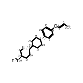 CCC=COc1ccc([C@H]2CC[C@H]([C@H]3CC[C@H](CCC)CC3)CC2)cc1